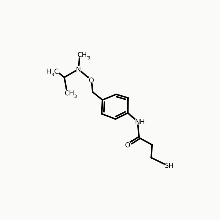 CC(C)N(C)OCc1ccc(NC(=O)CCS)cc1